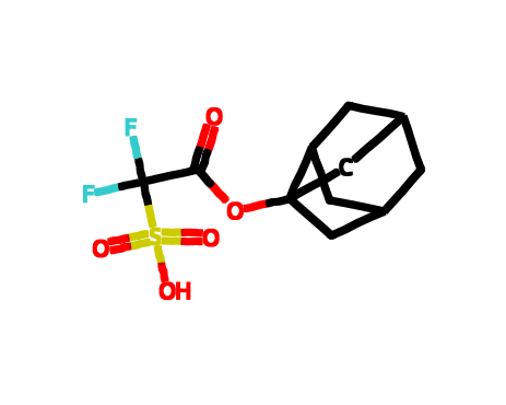 O=C(OC12CC3CC(CC1C3)C2)C(F)(F)S(=O)(=O)O